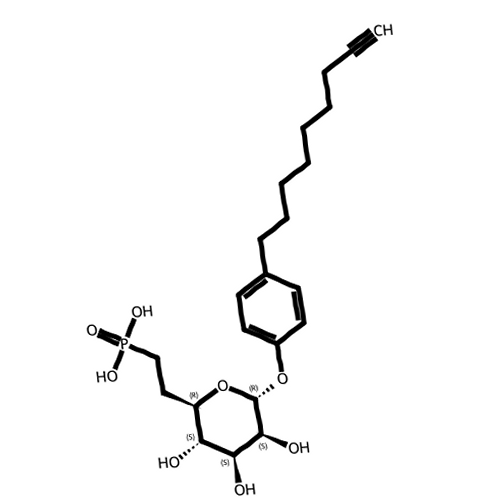 C#CCCCCCCCc1ccc(O[C@H]2O[C@H](CCP(=O)(O)O)[C@@H](O)[C@H](O)[C@@H]2O)cc1